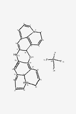 C1=CN2CC=CC3=C2C(=C1)C=C1NC2=CC4=CC=C[NH+]5CC=CC(=C2OC13)C45.F[B-](F)(F)F